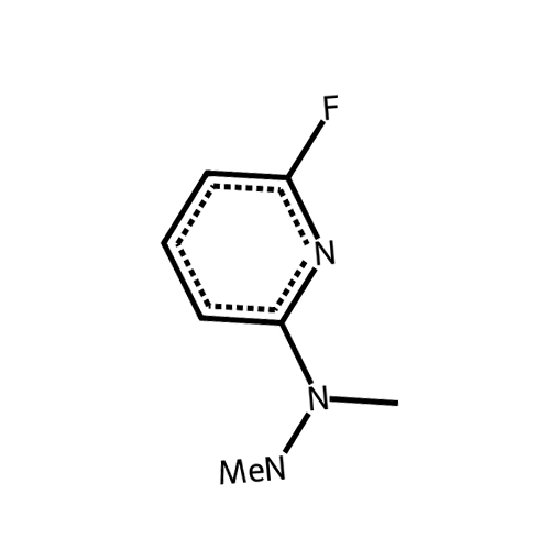 CNN(C)c1cccc(F)n1